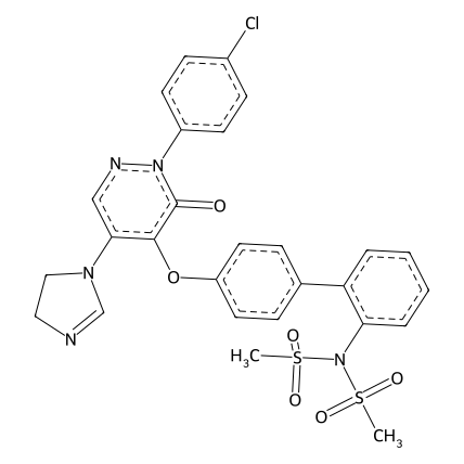 CS(=O)(=O)N(c1ccccc1-c1ccc(Oc2c(N3C=NCC3)cnn(-c3ccc(Cl)cc3)c2=O)cc1)S(C)(=O)=O